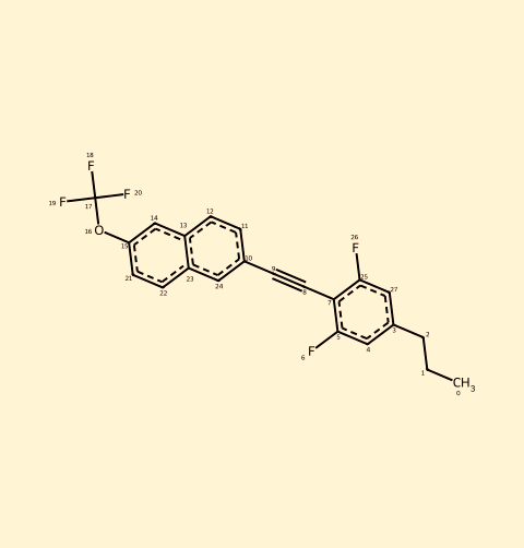 CCCc1cc(F)c(C#Cc2ccc3cc(OC(F)(F)F)ccc3c2)c(F)c1